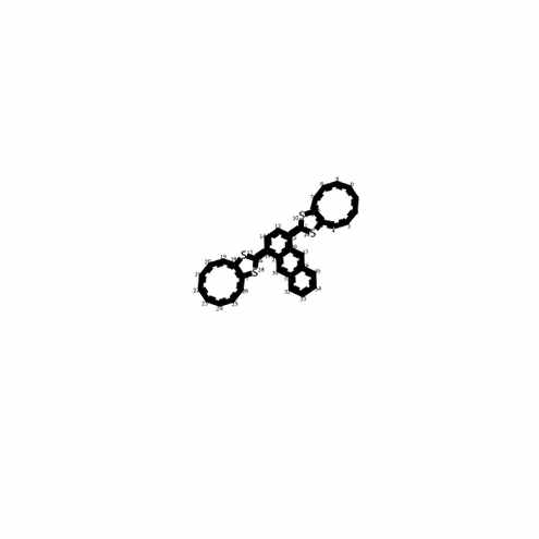 c1ccccc2c(ccc1)SC(=c1ccc(=C3Sc4ccccccccc4S3)c3cc4ccccc4cc13)S2